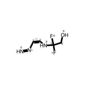 N=N/C=C\NC(F)(F)CO